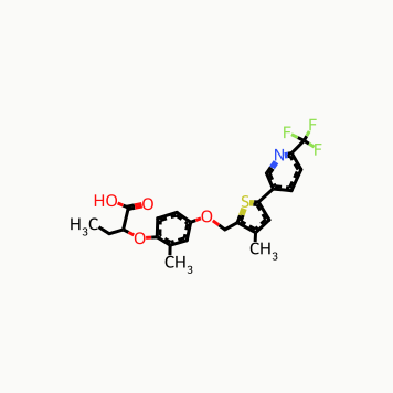 CCC(Oc1ccc(OCc2sc(-c3ccc(C(F)(F)F)nc3)cc2C)cc1C)C(=O)O